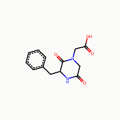 O=C(O)CN1CC(=O)NC(Cc2ccccc2)C1=O